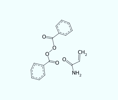 C=CC(N)=O.O=C(OOC(=O)c1ccccc1)c1ccccc1